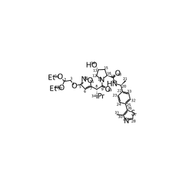 CCOC(COc1cc([C@H](C(=O)N2C[C@H](O)C[C@H]2C(=O)N[C@@H](C)c2ccc(-c3scnc3C)cc2)C(C)C)on1)OCC